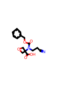 N#CCCN(C(=O)OCc1ccccc1)C1(C(=O)O)COC1